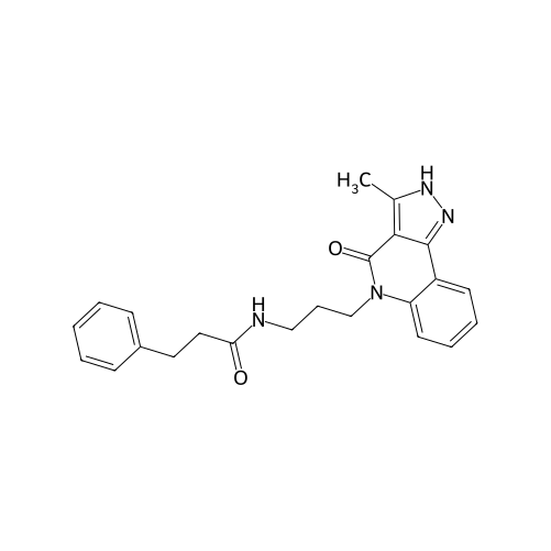 Cc1[nH]nc2c1c(=O)n(CCCNC(=O)CCc1ccccc1)c1ccccc21